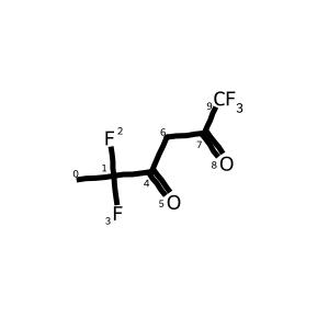 CC(F)(F)C(=O)CC(=O)C(F)(F)F